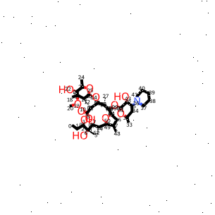 CC[C@@H](O)[C@@](C)(O)[C@@H]1OC(=O)[C@H](C)[C@@H](O[C@H]2CC(C)(OC)[C@@H](O)C(C)O2)[C@H](C)[C@@H](O[C@@H]2OC(C)CC(N3CCCCC3)C2O)[C@@]2(C)CC(C)C(O2)[C@@H]1C